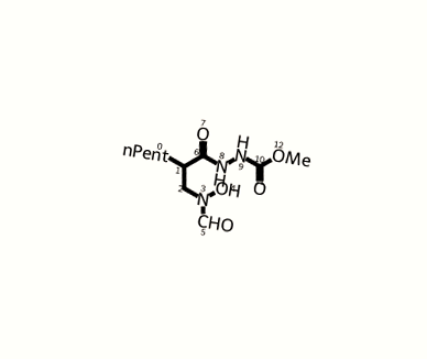 CCCCCC(CN(O)C=O)C(=O)NNC(=O)OC